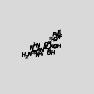 Nc1ncnc2c1ncn2[C@@H]1O[C@H](COC(F)(F)F)C(O)C1O